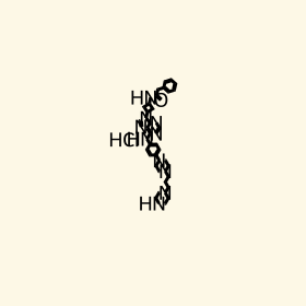 Cl.O=C(Cc1ccccc1)NC1CC(n2cnc3c(Nc4ccc(N5CCN(CCCN6CCNCC6)CC5)cc4)ncnc32)C1